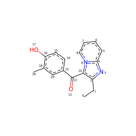 CCc1nc2ccccn2c1C(=O)c1ccc(O)c(C)c1